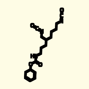 O=C=NCCCCC(CCCNC(=O)OC1C=CC=CC1)CN=C=O